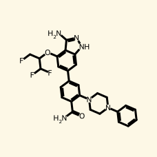 NC(=O)c1ccc(-c2cc(OC(CF)C(F)F)c3c(N)n[nH]c3c2)cc1N1CCN(c2ccccc2)CC1